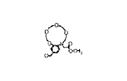 COC(=O)CN1CCOCCOCCOCCOc2cc(C=O)ccc21